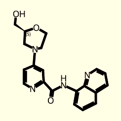 O=C(Nc1cccc2cccnc12)c1cc(N2CCO[C@H](CO)C2)ccn1